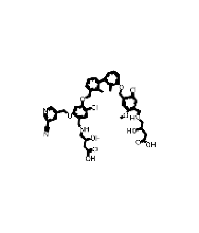 COc1cc(COc2cccc(-c3cccc(COc4cc(OCc5cncc(C#N)c5)c(CNCC(O)CC(=O)O)cc4Cl)c3C)c2C)c(Cl)cc1CNCC(O)CC(=O)O